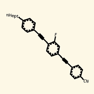 CCCCCCCc1ccc(C#Cc2ccc(C#Cc3ccc(C#N)cc3)cc2F)cc1